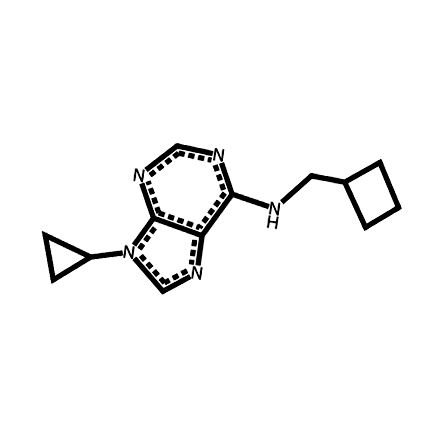 c1nc(NCC2CCC2)c2ncn(C3CC3)c2n1